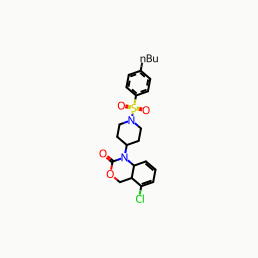 CCCCc1ccc(S(=O)(=O)N2CCC(N3C(=O)OCC4C(Cl)=CC=CC43)CC2)cc1